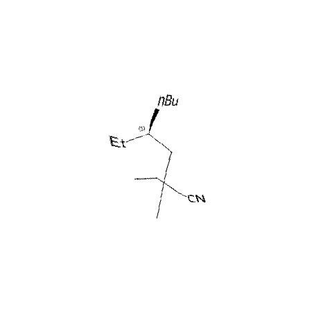 CCCC[C@H](CC)CC(C)(C)C#N